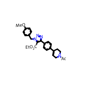 CCOC(=O)c1c(-c2ccc(C3=CCN(C(C)=O)CC3)cc2)nnn1Cc1ccc(OC)cc1